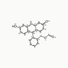 O=COCc1ccccc1-c1c2ccc(=O)cc-2oc2cc(O)ccc12